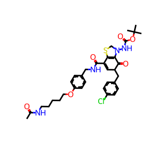 CC(=O)NCCCCCOc1ccc(CNC(=O)C2=CC(Cc3ccc(Cl)cc3)C(=O)C3=C2SCN3NC(=O)OC(C)(C)C)cc1